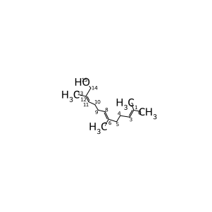 CC(C)=CCCC(C)=CCCC=C(C)CO